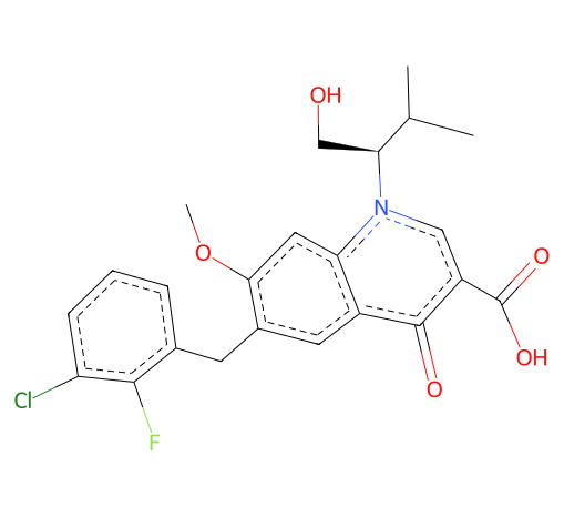 COc1cc2c(cc1Cc1cccc(Cl)c1F)c(=O)c(C(=O)O)cn2[C@@H](CO)C(C)C